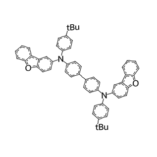 CC(C)(C)c1ccc(N(c2ccc(-c3ccc(N(c4ccc(C(C)(C)C)cc4)c4ccc5oc6ccccc6c5c4)cc3)cc2)c2ccc3oc4ccccc4c3c2)cc1